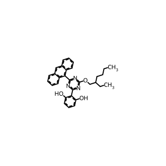 CCCCC(CC)COc1nc(-c2c(O)cccc2O)nc(-c2c3ccccc3cc3ccccc23)n1